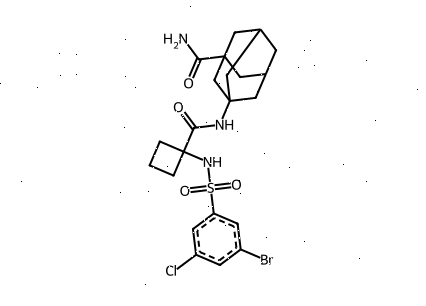 NC(=O)C12CC3CC(CC(NC(=O)C4(NS(=O)(=O)c5cc(Cl)cc(Br)c5)CCC4)(C3)C1)C2